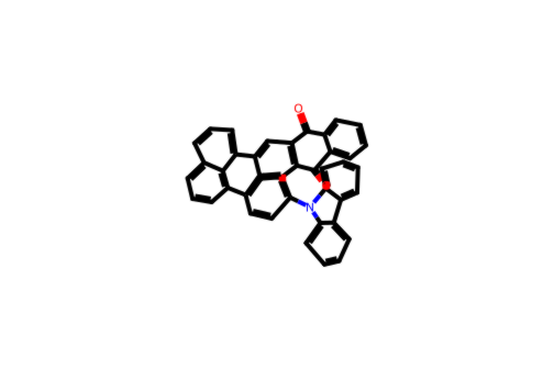 O=C1c2ccccc2C(=O)c2cc(-c3cccc4cccc(-c5ccc(-n6c7ccccc7c7ccccc76)cc5)c34)ccc21